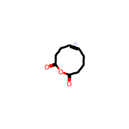 O=C1CC/C=C\CCCC(=O)O1